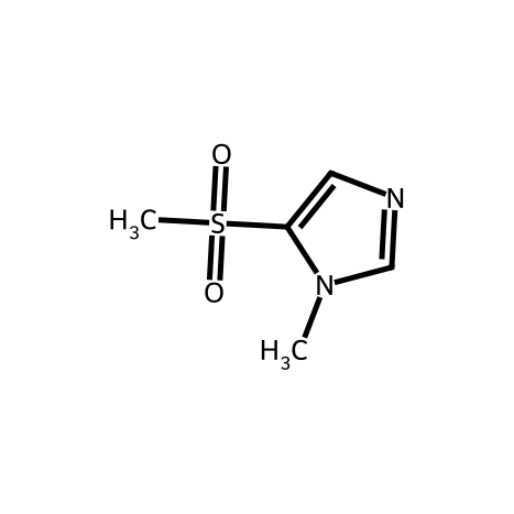 Cn1cncc1S(C)(=O)=O